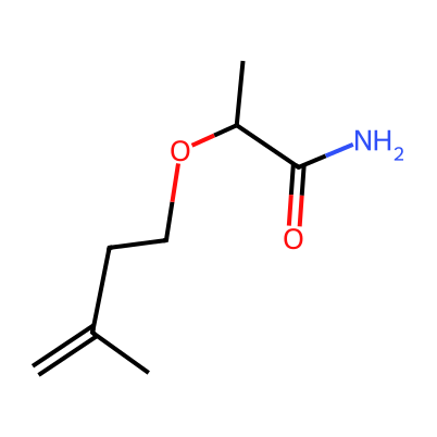 C=C(C)CCOC(C)C(N)=O